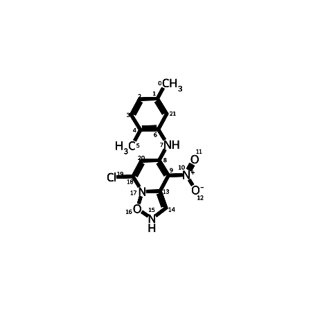 Cc1ccc(C)c(NC2=C([N+](=O)[O-])C3=CNON3C(Cl)=C2)c1